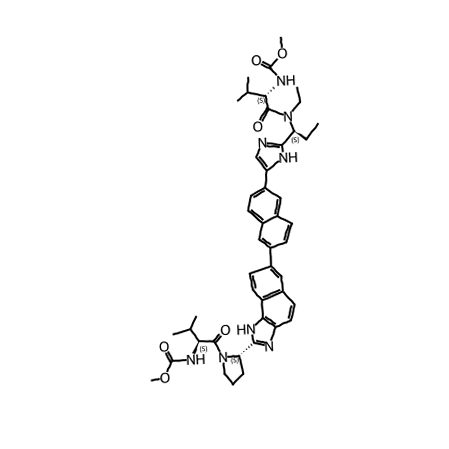 CC[C@@H](c1ncc(-c2ccc3cc(-c4ccc5c(ccc6nc([C@@H]7CCCN7C(=O)[C@@H](NC(=O)OC)C(C)C)[nH]c65)c4)ccc3c2)[nH]1)N(CC)C(=O)[C@@H](NC(=O)OC)C(C)C